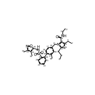 CCCc1nc(CC)c(C(=O)NCC)n1Cc1ccc(-c2ccccc2S(=O)(=O)Nc2onc(C)c2C)c(C)c1